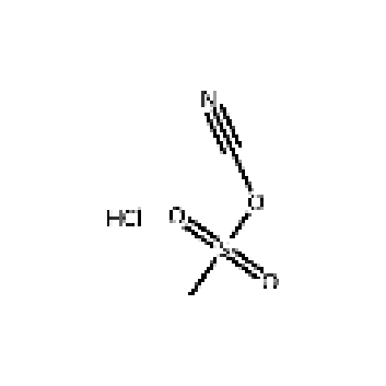 CS(=O)(=O)OC#N.Cl